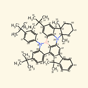 CC(C)(C)c1ccc(N2B3c4cc(C(C)(C)C)cc5c4N(c4cc6c(c(c43)-c3ccc(C(C)(C)C)cc32)C(C)(C)c2ccccc2-6)C2(C)CCCCC52C)cc1